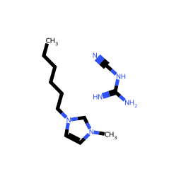 CCCCCCN1C=CN(C)C1.N#CNC(=N)N